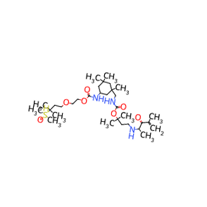 C=C(C)C(=O)C(C)NCCC(C)(C)OC(=O)NCC1(C)CC(NC(=O)OCCOCCC(C)(C)[SH](C)(C)=O)CC(C)(C)C1